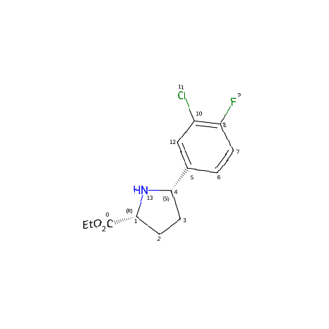 CCOC(=O)[C@H]1CC[C@@H](c2ccc(F)c(Cl)c2)N1